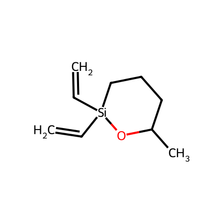 C=C[Si]1(C=C)CCCC(C)O1